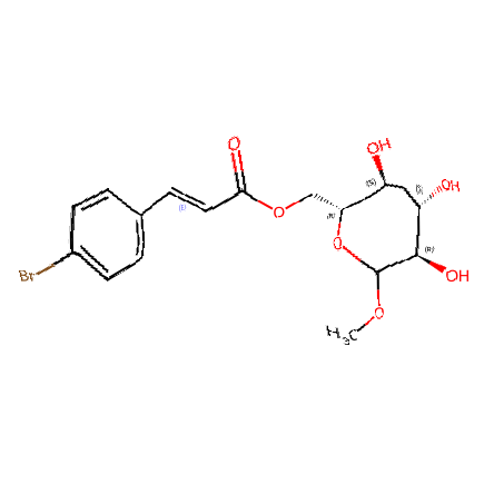 COC1O[C@H](COC(=O)/C=C/c2ccc(Br)cc2)[C@@H](O)[C@H](O)[C@H]1O